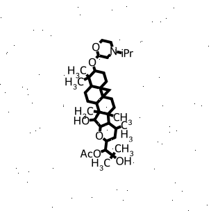 CC(=O)OC(C1CC(C)C2C(O1)C(O)C1(C)C3CCC4C(C)(C)C(OC5CN(C(C)C)CCO5)CCC45CC35CCC21C)C(C)(C)O